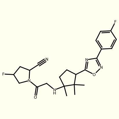 CC1(NCC(=O)N2CC(F)CC2C#N)CCC(c2nc(-c3ccc(F)cc3)no2)C1(C)C